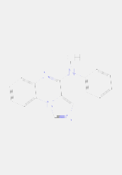 CN(c1ccccc1)c1nc2ccccc2n2cncc12